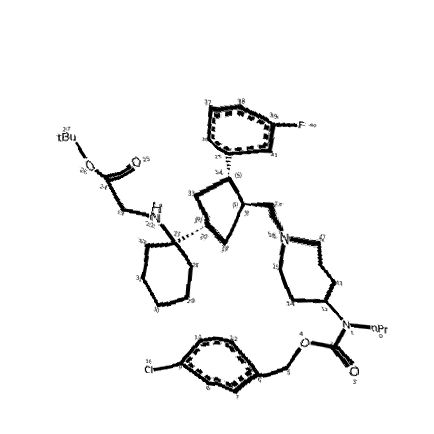 CCCN(C(=O)OCc1ccc(Cl)cc1)C1CCN(C[C@H]2C[C@H](C3(NCC(=O)OC(C)(C)C)CCCCC3)C[C@@H]2c2cccc(F)c2)CC1